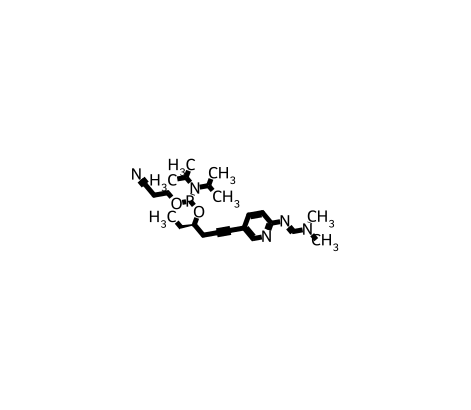 CC[C@H](CC#Cc1ccc(/N=C/N(C)C)nc1)OP(OCCC#N)N(C(C)C)C(C)C